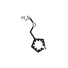 [SiH3]OCc1ccsc1